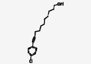 OCCCCCCCCCC#Cc1ccc(Cl)cc1